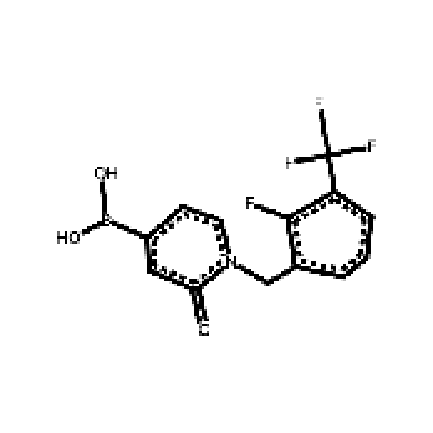 O=c1cc(B(O)O)ccn1Cc1cccc(C(F)(F)F)c1F